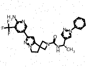 C[C@@H](NC(=O)N1CC2(CCn3nc(-c4cnc(N)c(C(F)(F)F)c4)cc32)C1)c1cnn(-c2ccccc2)c1